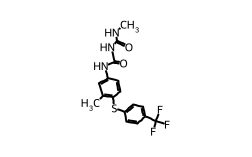 CNC(=O)NC(=O)Nc1ccc(Sc2ccc(C(F)(F)F)cc2)c(C)c1